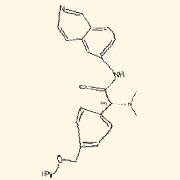 CC(C)OCc1ccc([C@H](C(=O)Nc2ccc3cnccc3c2)N(C)C)cc1